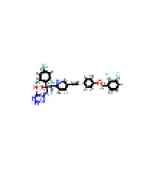 OC(Cn1cnnn1)(c1ccc(F)cc1F)C(F)(F)c1ccc(C#Cc2ccc(OCc3cccc(F)c3F)cc2)cn1